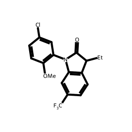 CCC1C(=O)N(c2cc(Cl)ccc2OC)c2cc(C(F)(F)F)ccc21